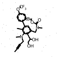 CC#CCN(C)c1c(C)c(-c2ccc(OC(F)(F)F)cc2)cc(CN(C)C(=O)OC(C)(C)C)c1C(O)CO